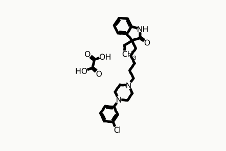 CCC1(CCCCCN2CCN(c3cccc(Cl)c3)CC2)C(=O)Nc2ccccc21.O=C(O)C(=O)O